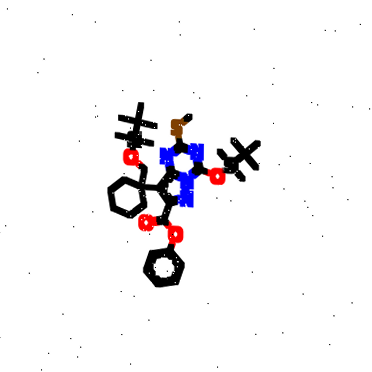 CSc1nc(O[Si](C)(C)C(C)(C)C)n2nc(C(=O)Oc3ccccc3)c(C3(CO[Si](C)(C)C(C)(C)C)CCCCC3)c2n1